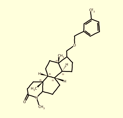 CN1C(=O)CC[C@@]2(C)C1CC[C@@H]1[C@H]2CC[C@]2(C)C(COCc3cccc(C(F)(F)F)c3)CC[C@@H]12